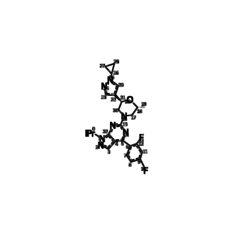 CC(C)n1ncc2c(-c3ccc(F)cc3F)nc(N3C[C@@H](C)O[C@H](c4cnn(C5CC5)c4)C3)nc21